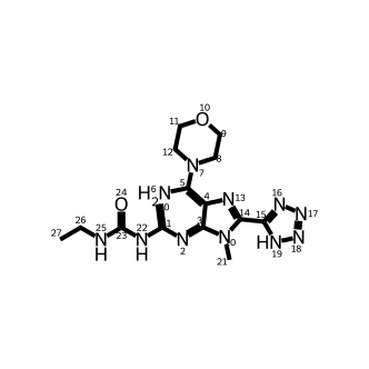 C=C(/N=C1\C(=C(/N)N2CCOCC2)N=C(c2nnn[nH]2)N1C)NC(=O)NCC